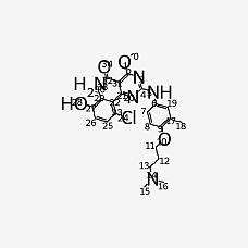 COc1nc(Nc2ccc(OCCCN(C)C)c(C)c2)nc(-c2c(Cl)ccc(O)c2C)c1C(N)=O